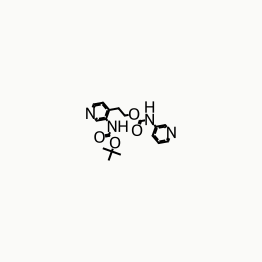 CC(C)(C)OC(=O)Nc1cnccc1CCOC(=O)Nc1cccnc1